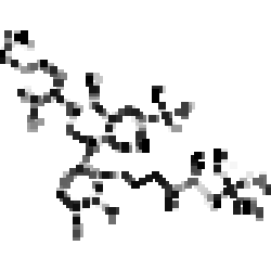 COc1ccc(N2CN(c3ccc(F)c(F)c3CCCNC(=O)OC(C)(C)C)c3cnc(C(F)(F)F)cc3C2=O)c(Br)n1